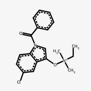 CC[N+](C)(C)Oc1cn(C(=O)c2ccccc2)c2ccc(Cl)cc12